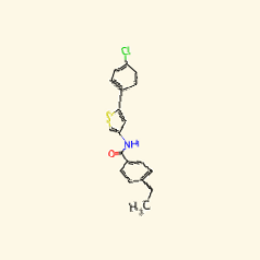 CCc1ccc(C(=O)Nc2csc(-c3ccc(Cl)cc3)c2)cc1